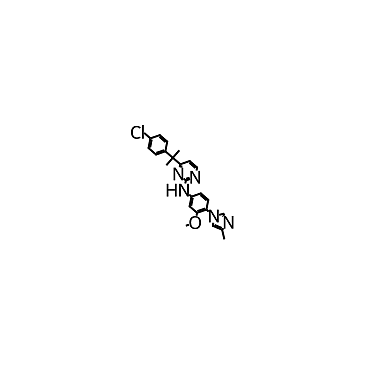 COc1cc(Nc2nccc(C(C)(C)c3ccc(Cl)cc3)n2)ccc1-n1cnc(C)c1